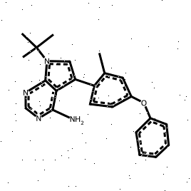 Cc1cc(Oc2ccccc2)ccc1-c1cn(C(C)(C)C)c2ncnc(N)c12